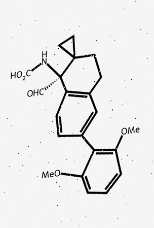 COc1cccc(OC)c1-c1ccc2c(c1)CCC1(CC1)[C@]2(C=O)NC(=O)O